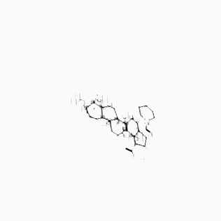 C=C(C)[C@@H]1CC[C@]2(C(=O)N3CCCCC3)CC[C@]3(C)[C@H](CC[C@@H]4[C@@]5(C)CC[C@H](O)C(C)(C)[C@@H]5CC[C@]43C)[C@@H]12